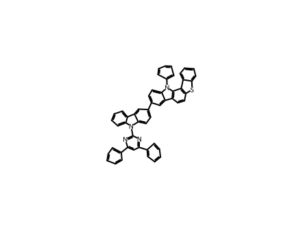 c1ccc(-c2cc(-c3ccccc3)nc(-n3c4ccccc4c4cc(-c5ccc6c(c5)c5ccc7sc8ccccc8c7c5n6-c5ccccc5)ccc43)n2)cc1